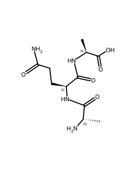 C[C@H](N)C(=O)N[C@@H](CCC(N)=O)C(=O)N[C@@H](C)C(=O)O